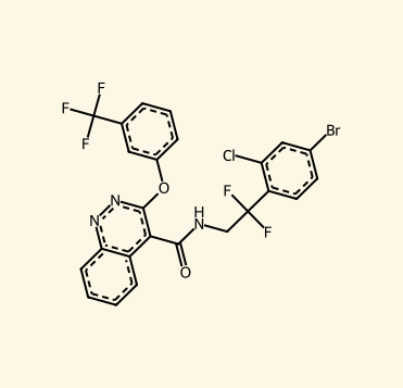 O=C(NCC(F)(F)c1ccc(Br)cc1Cl)c1c(Oc2cccc(C(F)(F)F)c2)nnc2ccccc12